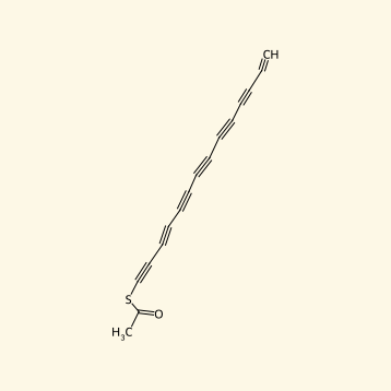 C#CC#CC#CC#CC#CC#CC#CSC(C)=O